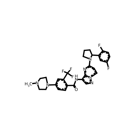 CN1CCN(c2ccc(C(=O)Nc3cnn4ccc(N5CCCC5c5cc(F)ccc5F)nc34)c(C(F)(F)F)c2)CC1